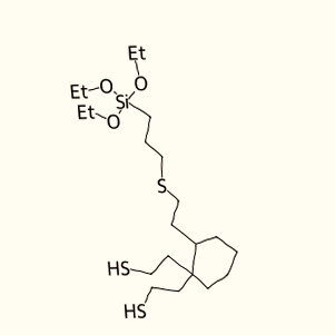 CCO[Si](CCCSCCC1CCCCC1(CCS)CCS)(OCC)OCC